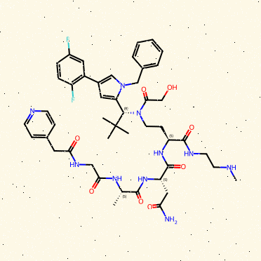 CNCCNC(=O)[C@H](CCN(C(=O)CO)[C@@H](c1cc(-c2cc(F)ccc2F)cn1Cc1ccccc1)C(C)(C)C)NC(=O)[C@H](CC(N)=O)NC(=O)[C@H](C)NC(=O)CNC(=O)Cc1ccncc1